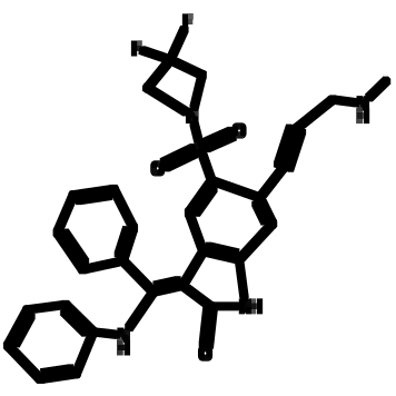 CNCC#Cc1cc2c(cc1S(=O)(=O)N1CC(F)(F)C1)/C(=C(/Nc1ccccc1)c1ccccc1)C(=O)N2